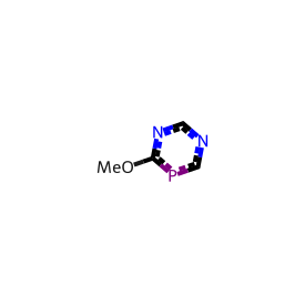 COc1ncncp1